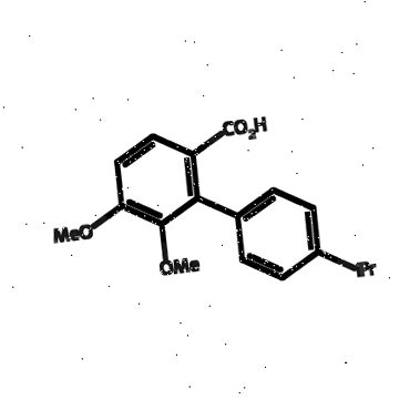 COc1ccc(C(=O)O)c(-c2ccc(C(C)C)cc2)c1OC